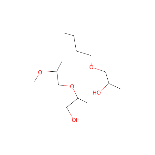 CCCCOCC(C)O.COC(C)COC(C)CO